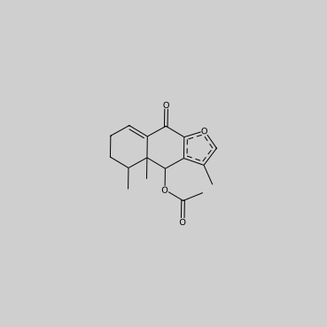 CC(=O)OC1c2c(C)coc2C(=O)C2=CCCC(C)C21C